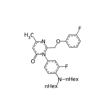 CCCCCCN(CCCCCC)c1ccc(-n2c(COc3cccc(F)c3)nc(C)cc2=O)cc1F